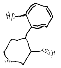 Cc1ccccc1C1CCNCC1C(=O)O